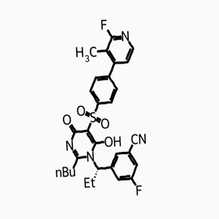 CCCCc1nc(=O)c(S(=O)(=O)c2ccc(-c3ccnc(F)c3C)cc2)c(O)n1[C@@H](CC)c1cc(F)cc(C#N)c1